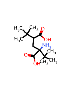 CC(C)(C)C(C[C@@](N)(C(=O)O)C(C)(C)C)C(=O)O